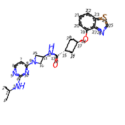 CC(C)Nc1nccc(N2CC(NC(=O)[C@H]3C[C@H](Oc4cccc5scnc45)C3)C2)n1